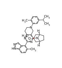 CO[C@H]1C[C@H]2CC[C@@H](C1)N2c1nc(-c2c(C)ccc3[nH]ncc23)nc2c1CN(c1cc(C(C)C)ccc1C)CC2